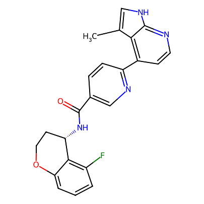 Cc1c[nH]c2nccc(-c3ccc(C(=O)N[C@H]4CCOc5cccc(F)c54)cn3)c12